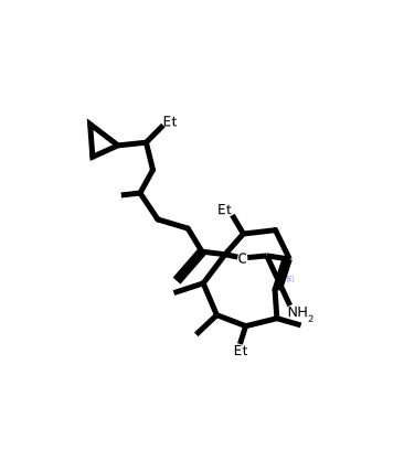 C=C(CCC(C)CC(CC)C1CC1)C12CC(N)/C(=C/C(C)C(CC)C(C)C1C)CC2CC